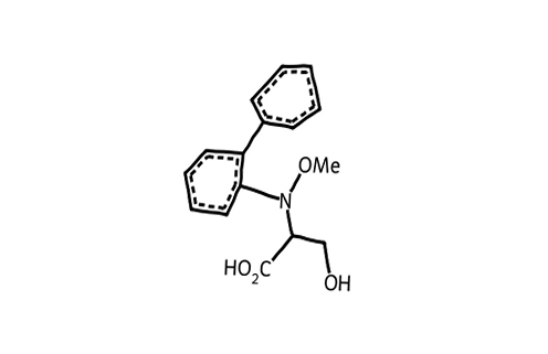 CON(c1ccccc1-c1ccccc1)C(CO)C(=O)O